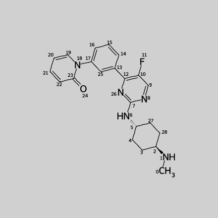 CN[C@H]1CC[C@H](Nc2ncc(F)c(-c3cccc(-n4ccccc4=O)c3)n2)CC1